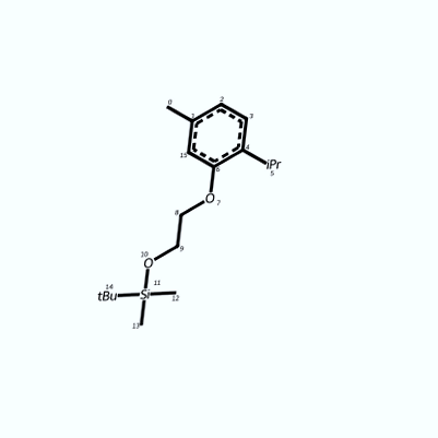 Cc1ccc(C(C)C)c(OCCO[Si](C)(C)C(C)(C)C)c1